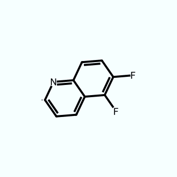 Fc1ccc2n[c]ccc2c1F